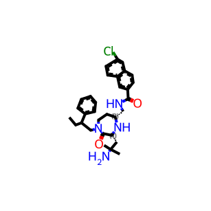 CCC(CN1CC[C@H](CNC(=O)c2ccc3cc(Cl)ccc3c2)N[C@H](CC(C)(C)N)C1=O)c1ccccc1